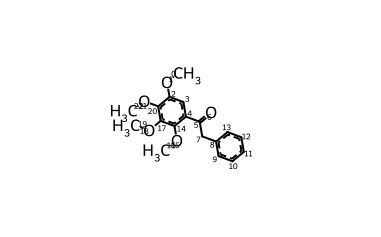 COc1cc(C(=O)Cc2ccccc2)c(OC)c(OC)c1OC